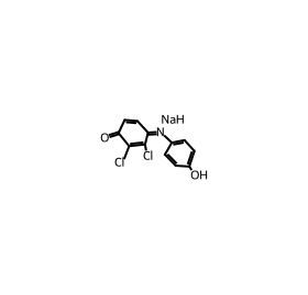 O=C1C=CC(=Nc2ccc(O)cc2)C(Cl)=C1Cl.[NaH]